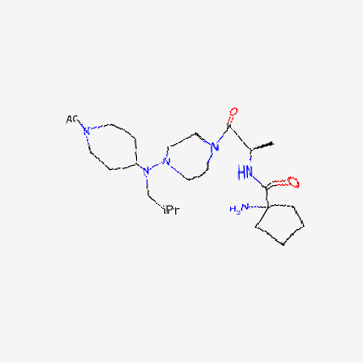 CC(=O)N1CCC(N(CC(C)C)N2CCN(C(=O)[C@@H](C)NC(=O)C3(N)CCCC3)CC2)CC1